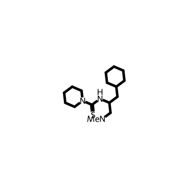 CNCC(CC1CCCCC1)NC(=S)N1CCCCC1